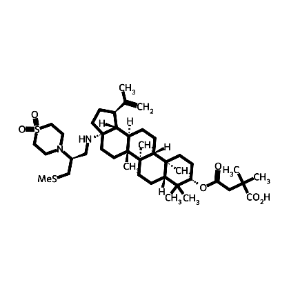 C=C(C)[C@@H]1CC[C@]2(NC[C@@H](CSC)N3CCS(=O)(=O)CC3)CC[C@]3(C)[C@H](CC[C@@H]4[C@@]5(C)CC[C@H](OC(=O)CC(C)(C)C(=O)O)C(C)(C)[C@@H]5CC[C@]43C)[C@@H]12